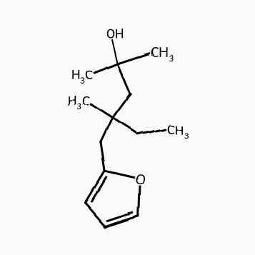 CCC(C)(Cc1ccco1)CC(C)(C)O